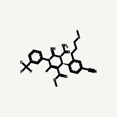 COC(=O)C1=C(C)N(c2cccc(C(F)(F)F)c2)C(=N)N(C(N)=O)[C@@H]1c1ccc(C#N)cc1CCCSC